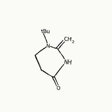 C=C1NC(=O)CCN1C(C)(C)C